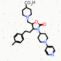 Cc1ccc(CCC2C(CN3CCC(C(=O)O)CC3)OC(=O)N2C2CCN(c3ccncc3)CC2)cc1